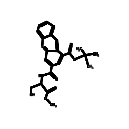 COC(=O)C(CO)NC(=O)c1cc(C(=O)OC(C)(C)C)c2cc3ccccc3nc2c1